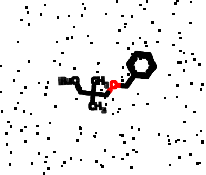 CC(C)COCC(C)(C)COCc1ccccc1